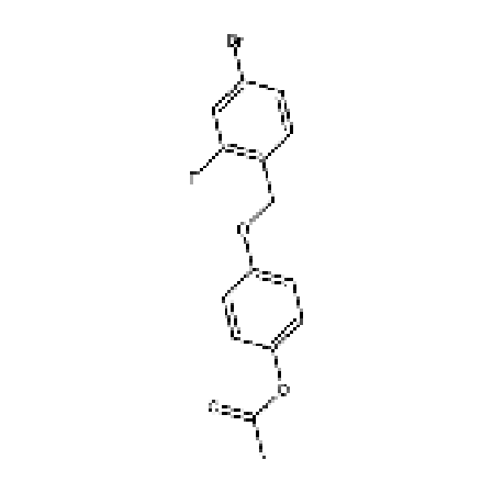 CC(=O)Oc1ccc(OCc2ccc(Br)cc2F)cc1